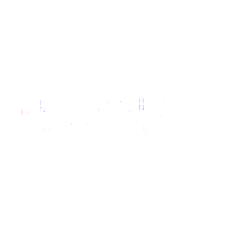 O=C(NO)c1ccc(C#CCCNC(=O)c2cc3ccccc3s2)cc1